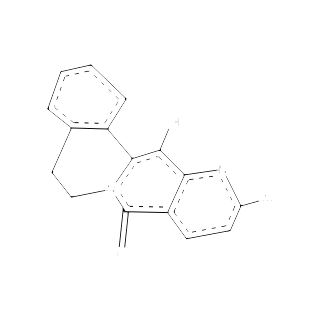 CC(=O)c1ccc2c(=O)n3c(c(O)c2n1)-c1ccccc1CC3